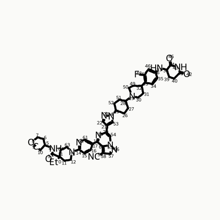 CCC1(C(=O)NC2CCOCC2)CCN(c2ccc(-c3nc(-c4cnn(C5CCC(N6CCC(c7ccc(NC8CCC(=O)NC8=O)cc7F)CC6)CC5)c4)cn4ncc(C#N)c34)cn2)CC1